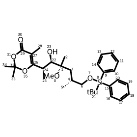 CO[C@](C)(C[C@@H](C)CO[Si](c1ccccc1)(c1ccccc1)C(C)(C)C)[C@H](O)[C@@H](C)C1=C(C)C(=O)OC(C)(C)O1